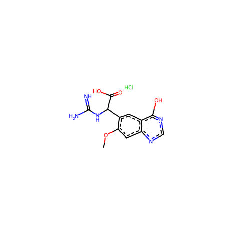 COc1cc2ncnc(O)c2cc1C(NC(=N)N)C(=O)O.Cl